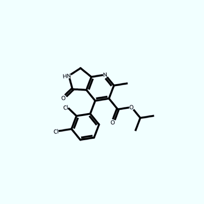 Cc1nc2c(c(-c3cccc(Cl)c3Cl)c1C(=O)OC(C)C)C(=O)NC2